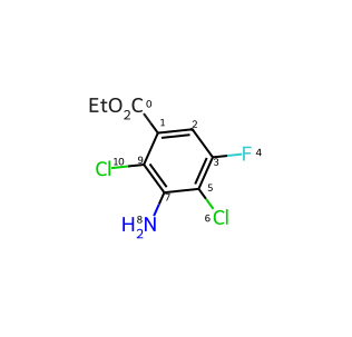 CCOC(=O)c1cc(F)c(Cl)c(N)c1Cl